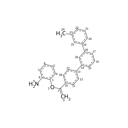 C=C(Oc1ccccc1N)c1ccc(-c2cccc(-c3cccc(C)c3)c2)cc1